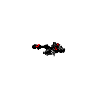 CCC(=O)N[C@H](C(=O)N[C@@H](Cc1ccc(C#Cc2ccc(N3CC4CCC(C3)N4C3COC3)nc2)cc1)[C@@H](O)CN(Cc1c(F)cc(C(=N)/C=C\NC(F)F)cc1F)NC(=O)[C@@H](NC(=O)CC)C(C)(C)C(F)(F)F)C(C)(C)C(F)(F)F